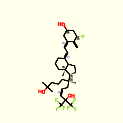 C=C1/C(=C\C=C2/CCC[C@@]3(C)C2CC[C@@H]3[C@@](C)(C/C=C\C(O)(C(F)(F)F)C(F)(F)F)CCCC(C)(C)O)C[C@@H](O)C[C@@H]1F